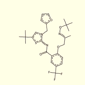 CC(COc1ccc(C(F)(F)F)cc1C(=O)/N=c1\sc(C(C)(C)C)cn1Cc1ccco1)=NOC(C)(C)C